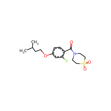 CC(C)CCOc1ccc(C(=O)N2CCS(=O)(=O)CC2)c(F)c1